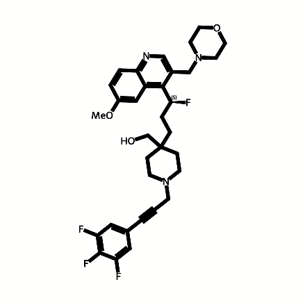 COc1ccc2ncc(CN3CCOCC3)c([C@@H](F)CCC3(CO)CCN(CC#Cc4cc(F)c(F)c(F)c4)CC3)c2c1